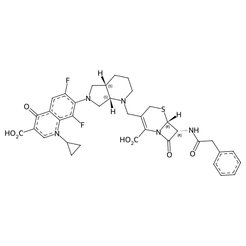 O=C(Cc1ccccc1)N[C@@H]1C(=O)N2C(C(=O)O)=C(CN3CCC[C@H]4CN(c5c(F)cc6c(=O)c(C(=O)O)cn(C7CC7)c6c5F)C[C@H]43)CS[C@H]12